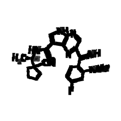 CNc1cc(F)ccc1C(=N)c1cnc2[nH]cc(C(=O)N[C@H](C)C3(C#N)CCCC3)c2n1